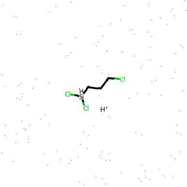 ClCCC[SiH](Cl)Cl.[H+]